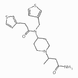 CC(CC(N)=O)N1CCC(N(Cc2ccsc2)C(=O)Cc2ccsc2)CC1